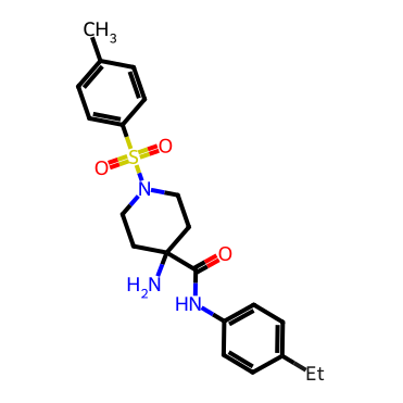 CCc1ccc(NC(=O)C2(N)CCN(S(=O)(=O)c3ccc(C)cc3)CC2)cc1